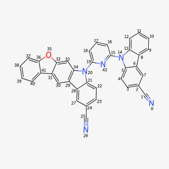 N#Cc1ccc2c(c1)c1ccccc1n2-c1cccc(-n2c3ccc(C#N)cc3c3cc4c(cc32)oc2ccccc24)n1